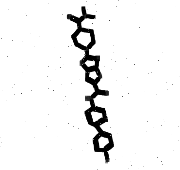 CN(C)C(=O)C1CCN(c2nc3sc(C(=O)Nc4ccc(-c5ccc(F)cc5)nc4)cc3s2)CC1